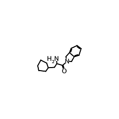 NC(CC1CCCCC1)C(=O)N1Cc2ccccc2C1